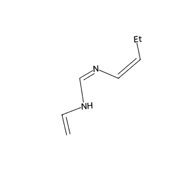 C=CN/C=N\C=C/CC